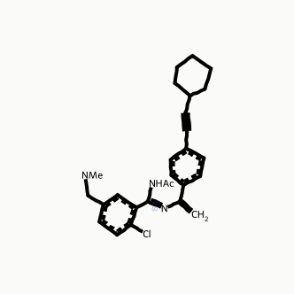 C=C(/N=C(\NC(C)=O)c1cc(CNC)ccc1Cl)c1ccc(C#CC2CCCCC2)cc1